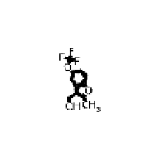 Cc1oc2ccc(OC(F)(F)F)cc2c1CO